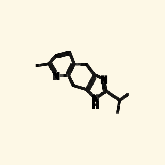 Cc1ccc2c(n1)Cc1[nH]c(C(C)C)nc1C2